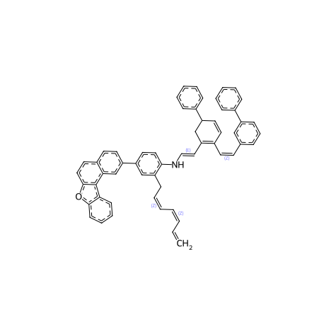 C=C/C=C\C=C/Cc1cc(-c2ccc3ccc4oc5ccccc5c4c3c2)ccc1N/C=C/C1=C(/C=C\c2cccc(-c3ccccc3)c2)C=CC(c2ccccc2)C1